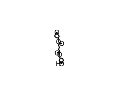 O=C(CCCCC(=O)OCC1CCC2O[C@H]2C1)OCC1CCC2OC2C1